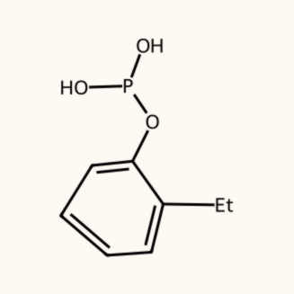 CCc1ccccc1OP(O)O